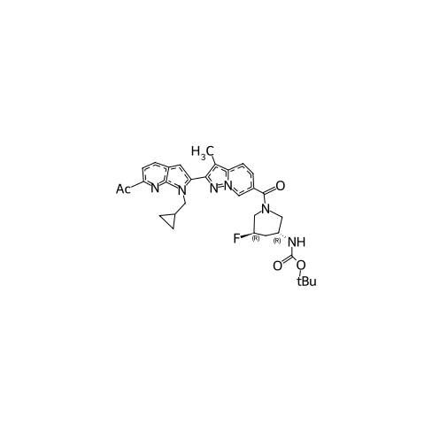 CC(=O)c1ccc2cc(-c3nn4cc(C(=O)N5C[C@H](F)C[C@@H](NC(=O)OC(C)(C)C)C5)ccc4c3C)n(CC3CC3)c2n1